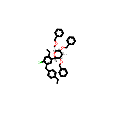 CCc1ccc(Cc2cc([C@]3(C)O[C@H](COCc4ccccc4)[C@@H](OCc4ccccc4)[C@H](C)[C@H]3OCc3ccccc3)c(CC)cc2Cl)cc1